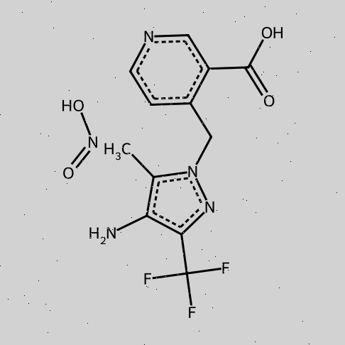 Cc1c(N)c(C(F)(F)F)nn1Cc1ccncc1C(=O)O.O=NO